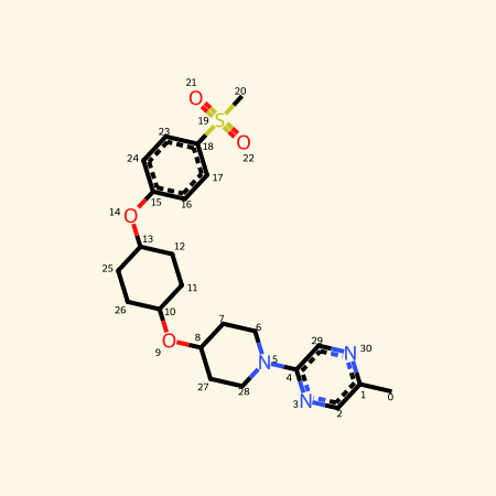 Cc1cnc(N2CCC(OC3CCC(Oc4ccc(S(C)(=O)=O)cc4)CC3)CC2)cn1